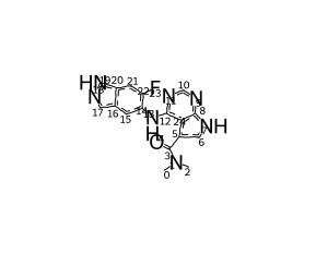 CN(C)C(=O)c1c[nH]c2ncnc(Nc3cc4cn[nH]c4cc3F)c12